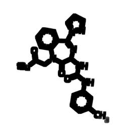 Cc1cccc(NC(=O)NC2N=C(n3cccn3)c3ccccc3N(CC(=O)C(C)(C)C)C2=O)c1